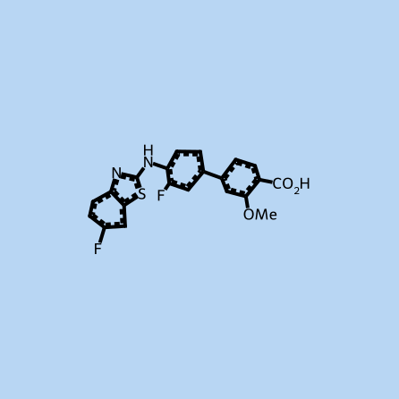 COc1cc(-c2ccc(Nc3nc4ccc(F)cc4s3)c(F)c2)ccc1C(=O)O